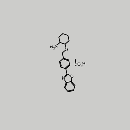 CC(=O)O.NC1CCCCC1OCc1ccc(-c2nc3ccccc3o2)cc1